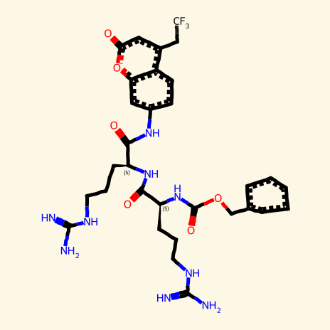 N=C(N)NCCC[C@H](NC(=O)OCc1ccccc1)C(=O)N[C@@H](CCCNC(=N)N)C(=O)Nc1ccc2c(CC(F)(F)F)cc(=O)oc2c1